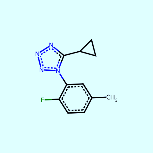 Cc1ccc(F)c(-n2nnnc2C2CC2)c1